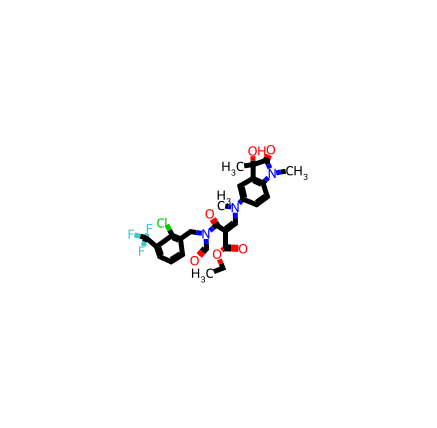 CCOC(=O)/C(=C/N(C)c1ccc2c(c1)C(C)(O)C(=O)N2C)C(=O)N(C=O)Cc1cccc(C(F)(F)F)c1Cl